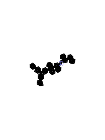 C(=C\c1ccc(-c2c3ccccc3c(-c3ccc(N(c4ccc(-c5ccccc5)cc4)c4ccc(-c5ccccc5)cc4)cc3)c3ccccc23)c2ccccc12)/c1ccc(-c2cccc3ccccc23)c2ccccc12